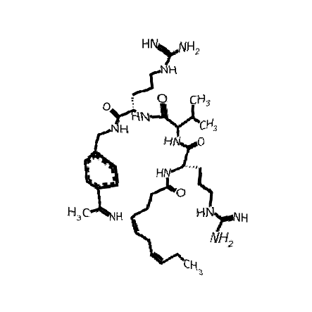 CC/C=C\C/C=C\CCC(=O)N[C@@H](CCCNC(=N)N)C(=O)NC(C(=O)N[C@@H](CCCNC(=N)N)C(=O)NCc1ccc(C(C)=N)cc1)C(C)C